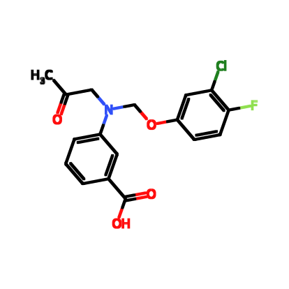 CC(=O)CN(COc1ccc(F)c(Cl)c1)c1cccc(C(=O)O)c1